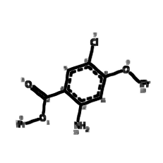 CC(C)OC(=O)c1cc(Cl)c(OC(C)C)cc1N